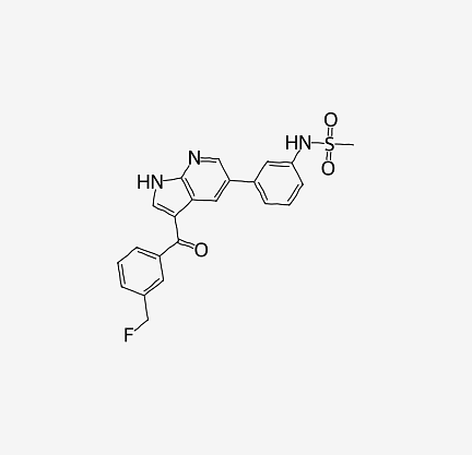 CS(=O)(=O)Nc1cccc(-c2cnc3[nH]cc(C(=O)c4cccc(CF)c4)c3c2)c1